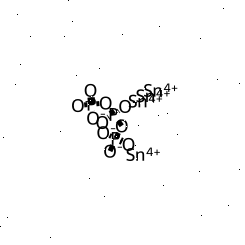 O=P([O-])([O-])OP(=O)([O-])OP(=O)([O-])[O-].[Sn+4].[Sn+4].[Sn+4].[Sn+4]